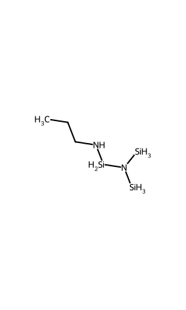 CCCN[SiH2]N([SiH3])[SiH3]